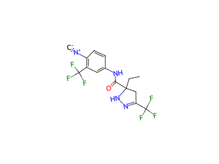 [C-]#[N+]c1ccc(NC(=O)C2(CC)CC(C(F)(F)F)=NN2)cc1C(F)(F)F